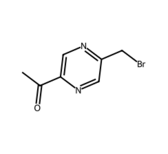 CC(=O)c1cnc(CBr)cn1